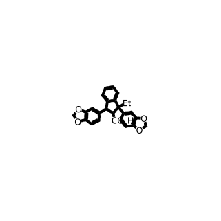 CCC1(c2ccc3c(c2)OCO3)c2ccccc2C(c2ccc3c(c2)OCO3)C1C(=O)O